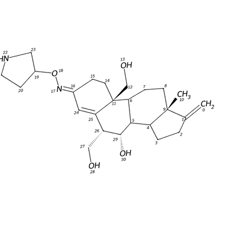 C=C1CCC2C3C(CC[C@]12C)[C@@]1(CO)CCC(=NOC2CCNC2)C=C1[C@@H](CO)[C@H]3O